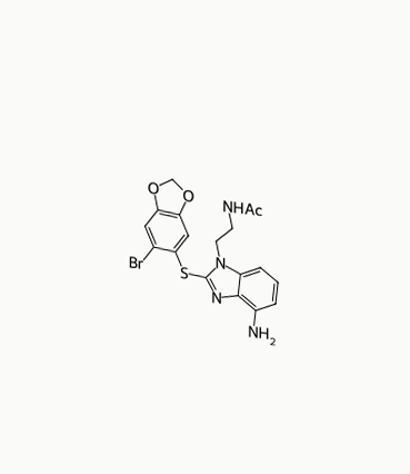 CC(=O)NCCn1c(Sc2cc3c(cc2Br)OCO3)nc2c(N)cccc21